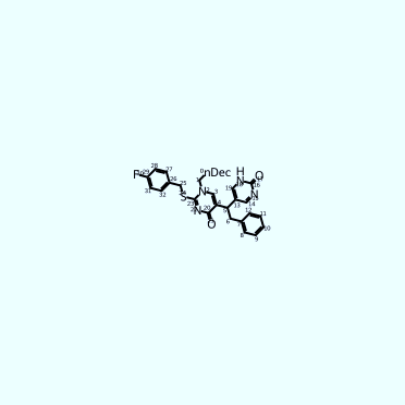 CCCCCCCCCCCn1cc(C(Cc2ccccc2)c2cnc(=O)[nH]c2)c(=O)nc1SCc1ccc(F)cc1